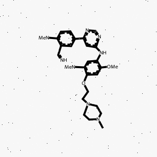 CNc1ccc(-c2cc(Nc3cc(NC)c(OCCN4CCN(C)CC4)cc3OC)ncn2)cc1C=N